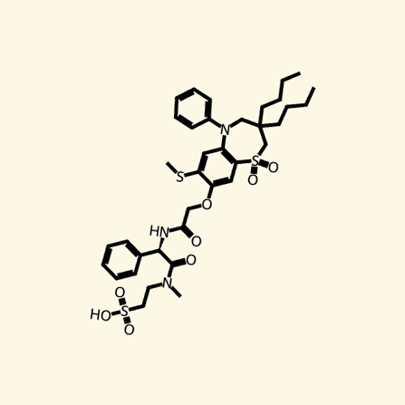 CCCCC1(CCCC)CN(c2ccccc2)c2cc(SC)c(OCC(=O)N[C@@H](C(=O)N(C)CCS(=O)(=O)O)c3ccccc3)cc2S(=O)(=O)C1